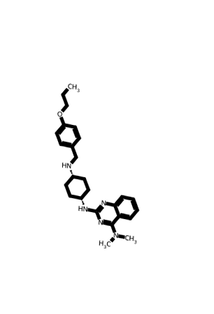 CCCOc1ccc(CN[C@H]2CC[C@@H](Nc3nc(N(C)C)c4ccccc4n3)CC2)cc1